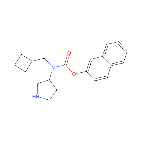 O=C(Oc1ccc2ccccc2c1)N(CC1CCC1)C1CCNC1